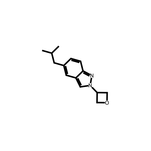 CC(C)Cc1ccc2nn(C3COC3)cc2c1